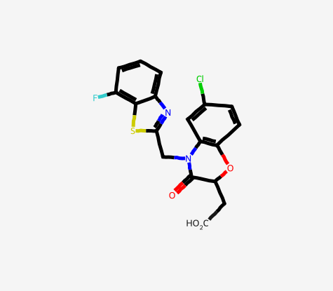 O=C(O)CC1Oc2ccc(Cl)cc2N(Cc2nc3cccc(F)c3s2)C1=O